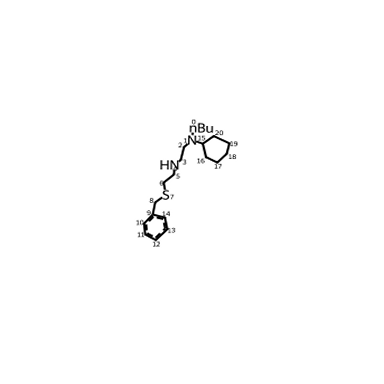 CCCCN(CCNCCSCc1ccccc1)C1CCCCC1